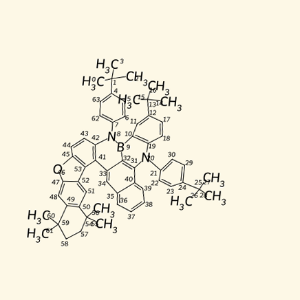 CC(C)(C)c1ccc(N2B3c4cc(C(C)(C)C)ccc4N(c4ccc(C(C)(C)C)cc4)c4c3c(cc3ccccc43)-c3c2ccc2oc4cc5c(cc4c32)C(C)(C)CCC5(C)C)cc1